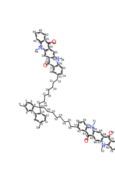 Cc1ccc2c(c1)-c1cc(C)ccc1C2(CCCCCCCCc1ccc2c(c1)c(=O)c1cc3c(cc1n2C)c(=O)c1ccccc1n3C)CCCCCCCCc1ccc2c(c1)c(=O)c1cc3c(cc1n2C)c(=O)c1ccccc1n3C